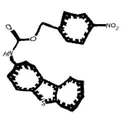 O=C(Nc1ccc2sc3ccccc3c2c1)OCc1ccc([N+](=O)[O-])cc1